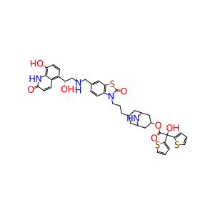 O=C(OC1CC2CC(CCCn3c(=O)sc4cc(CNC[C@H](O)c5ccc(O)c6[nH]c(=O)ccc56)ccc43)CC(C1)N2)C(O)(c1cccs1)c1cccs1